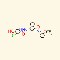 O=C(N/N=C/c1ccc(C(=O)NCc2ccccc2OC(F)(F)F)c2ccccc12)c1ccc(O)c(Cl)c1